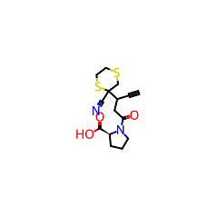 C#CC(CC(=O)N1CCC[C@H]1C(=O)O)C1(C#N)CSCCS1